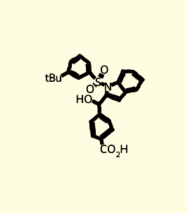 CC(C)(C)c1cccc(S(=O)(=O)n2c(C(O)c3ccc(C(=O)O)cc3)cc3ccccc32)c1